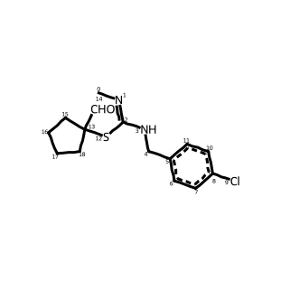 C/N=C(/NCc1ccc(Cl)cc1)SC1(C=O)CCCC1